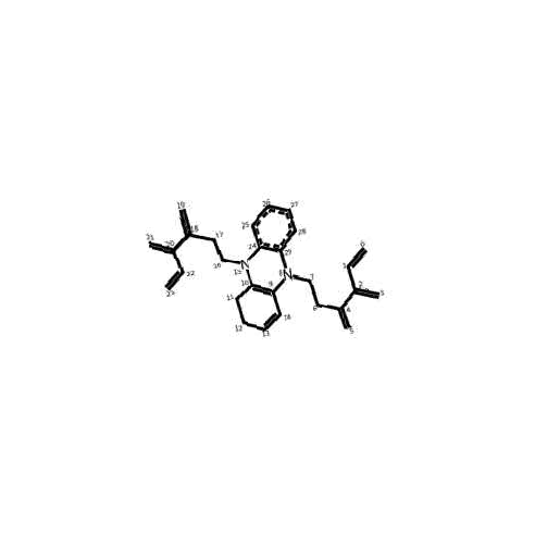 C=CC(=C)C(=C)CCN1C2=C(CCC=C2)N(CCC(=C)C(=C)C=C)c2ccccc21